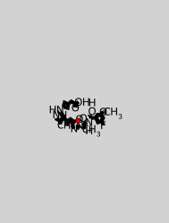 COc1cc(F)cc(C(CO)NC(=O)C(C)n2cnn3cc(-c4nc(NC5CC(CC(=O)O)C5)ncc4Cl)cc3c2=O)c1